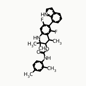 Cc1ccc(NC(=O)OC2C(C)c3c(cc(F)c(-c4cccc5cc[nH]c45)c3F)NC2(C)C)c(C)c1